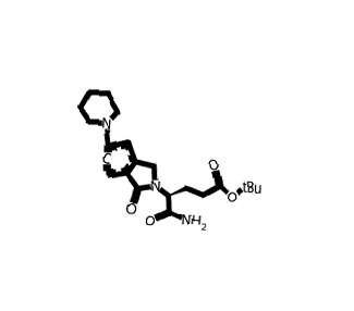 CC(C)(C)OC(=O)CC[C@@H](C(N)=O)N1Cc2cc(N3CCCCC3)ccc2C1=O